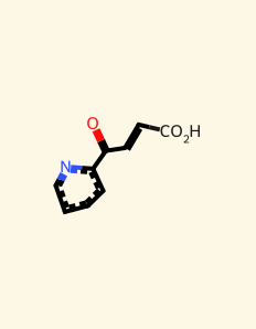 O=C(O)C=CC(=O)c1ccccn1